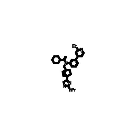 C=C(C1CCCCC1)N(CC12CCC(C3=NC(CCC)=NC3)(CC1)C2)c1cccc(-c2ccnc(CC)c2)c1